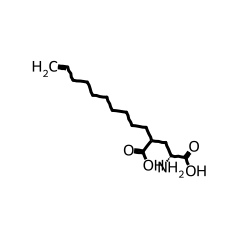 C=CCCCCCCCCC(C[C@@H](N)C(=O)O)C(=O)O